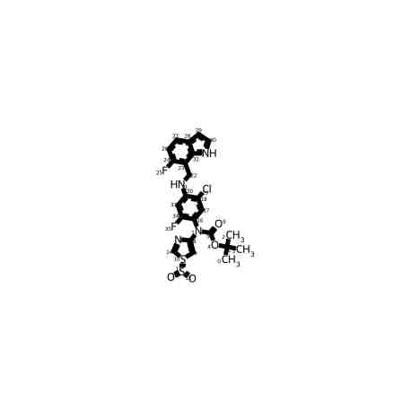 CC(C)(C)OC(=O)N(C1=CS(=S(=O)=O)C=N1)c1cc(Cl)c(NCc2c(F)ccc3cc[nH]c23)cc1F